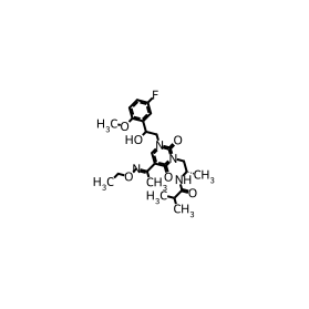 CCO/N=C(\C)c1cn(CC(O)c2cc(F)ccc2OC)c(=O)n(C[C@H](C)NC(=O)C(C)C)c1=O